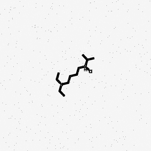 CCN(CC)CCCC[SiH](Cl)C(C)C